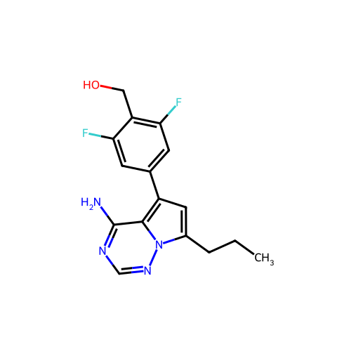 CCCc1cc(-c2cc(F)c(CO)c(F)c2)c2c(N)ncnn12